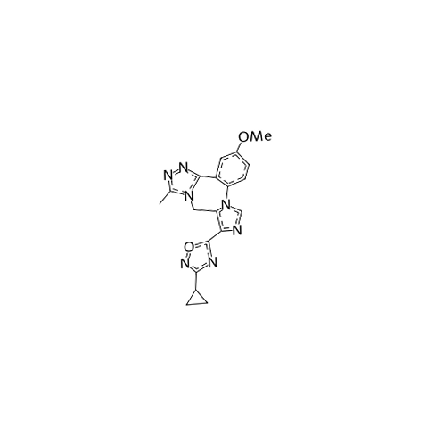 COc1ccc2c(c1)-c1nnc(C)n1Cc1c(-c3nc(C4CC4)no3)ncn1-2